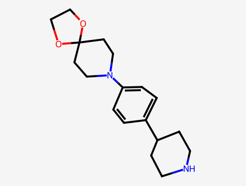 c1cc(N2CCC3(CC2)OCCO3)ccc1C1CCNCC1